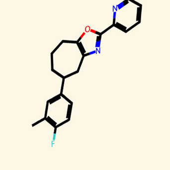 Cc1cc(C2CCCc3oc(-c4ccccn4)nc3C2)ccc1F